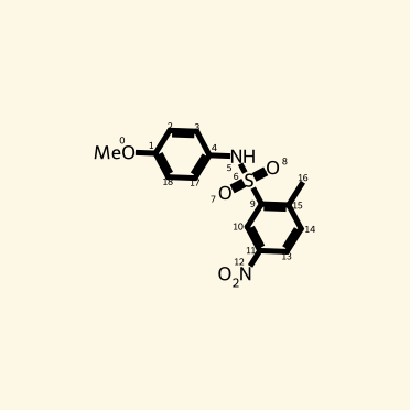 COc1ccc(NS(=O)(=O)c2cc([N+](=O)[O-])ccc2C)cc1